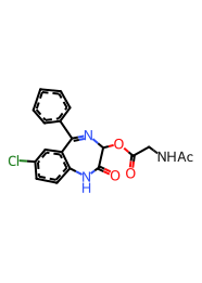 CC(=O)NCC(=O)OC1N=C(c2ccccc2)c2cc(Cl)ccc2NC1=O